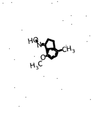 COc1ccc(C)c2c1/C(=N/O)CC2